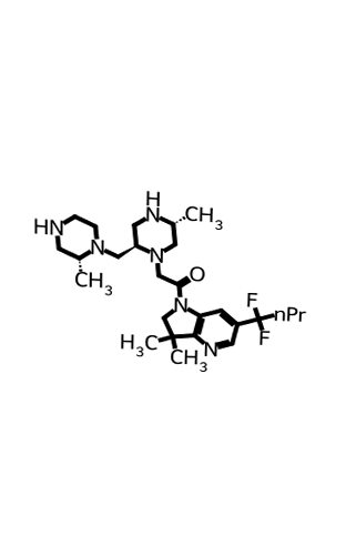 CCCC(F)(F)c1cnc2c(c1)N(C(=O)CN1C[C@@H](C)NC[C@@H]1CN1CCNC[C@H]1C)CC2(C)C